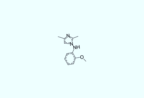 COc1ccccc1Nn1cc(C)nc1C